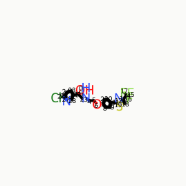 O[C@@H](CNCCOc1ccc(-c2nc(C(F)(F)F)cs2)cc1)c1ccc(Cl)nc1